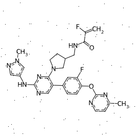 C=C(F)C(=O)NCC1CCN(c2nc(Nc3cnn(C)c3)ncc2-c2ccc(Oc3nccc(C)n3)c(F)c2)C1